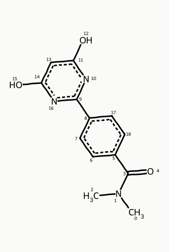 CN(C)C(=O)c1ccc(-c2nc(O)cc(O)n2)cc1